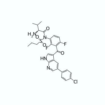 CCCS(=O)(=O)N(C(=O)[C@@H](N)C(C)C)c1ccc(F)c(C(=O)c2c[nH]c3ncc(-c4ccc(Cl)cc4)cc23)c1F